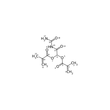 C=C(C)C(=O)OC(OC(=O)C(=C)C)C(=O)NC(N)=O